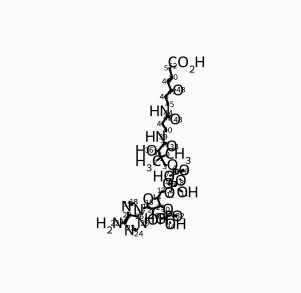 CC(C)(COP(=O)(O)OP(=O)(O)OCC1OC(n2cnc3c(N)ncnc32)C(O)C1OP(=O)(O)O)C(O)C(=O)NCCC(=O)NCCC(=O)/C=C/CC(=O)O